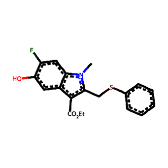 CCOC(=O)c1c(CSc2ccccc2)n(C)c2cc(F)c(O)cc12